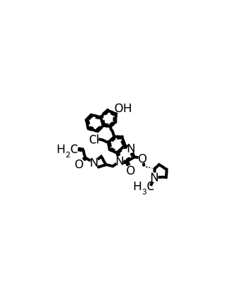 C=CC(=O)N1CC(Cn2c(=O)c(OC[C@@H]3CCCN3C)nc3cc(-c4cc(O)cc5ccccc45)c(Cl)cc32)C1